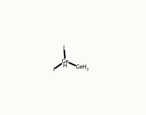 [GeH3][GeH]([I])[I]